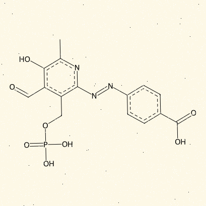 Cc1nc(N=Nc2ccc(C(=O)O)cc2)c(COP(=O)(O)O)c(C=O)c1O